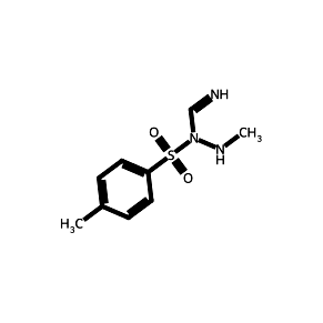 CNN(C=N)S(=O)(=O)c1ccc(C)cc1